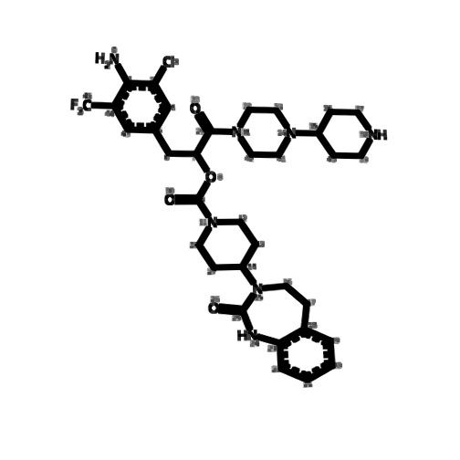 Nc1c(Cl)cc(CC(OC(=O)N2CCC(N3CCc4ccccc4NC3=O)CC2)C(=O)N2CCN(C3CCNCC3)CC2)cc1C(F)(F)F